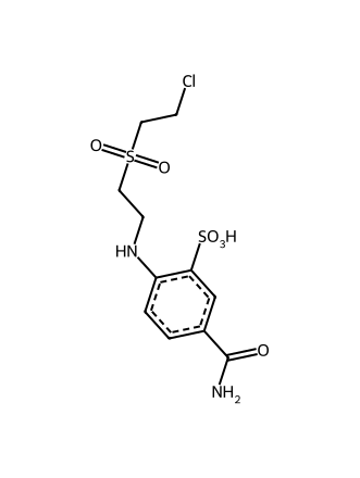 NC(=O)c1ccc(NCCS(=O)(=O)CCCl)c(S(=O)(=O)O)c1